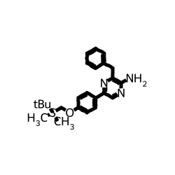 CC(C)(C)S(C)(C)COc1ccc(-c2cnc(N)c(Cc3ccccc3)n2)cc1